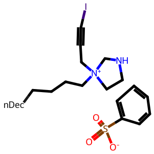 CCCCCCCCCCCCCC[N+]1(CC#CI)CCNC1.O=S(=O)([O-])c1ccccc1